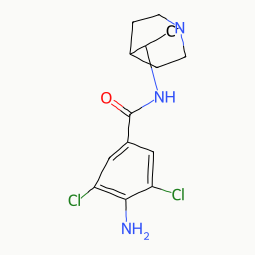 Nc1c(Cl)cc(C(=O)NC2CN3CCC2CC3)cc1Cl